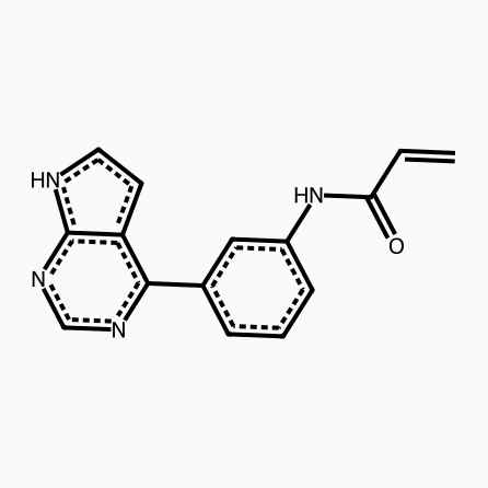 C=CC(=O)Nc1cccc(-c2ncnc3[nH]ccc23)c1